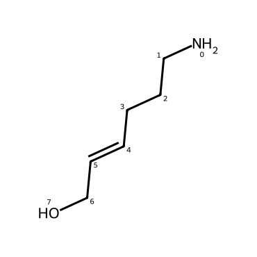 NCCCC=CCO